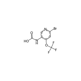 O=C(O)Nc1cnc(Br)cc1OC(F)(F)F